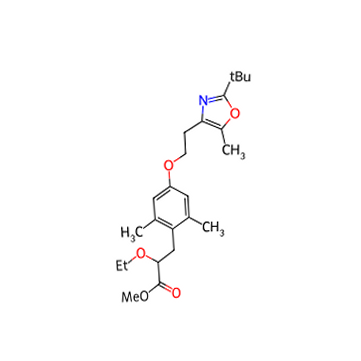 CCOC(Cc1c(C)cc(OCCc2nc(C(C)(C)C)oc2C)cc1C)C(=O)OC